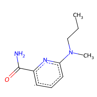 CCCN(C)c1cc[c]c(C(N)=O)n1